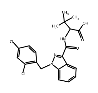 CC(C)(C)C(NC(=O)c1nn(Cc2ccc(Cl)cc2Cl)c2ccccc12)C(=O)O